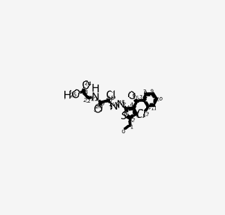 CCc1cc(C(=O)c2ccccc2Cl)c(N=NC(Cl)C(=O)NCC(=O)O)s1